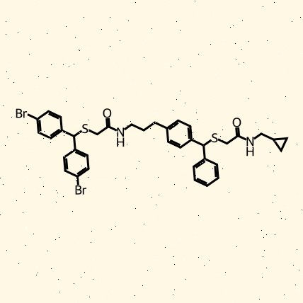 O=C(CSC(c1ccc(Br)cc1)c1ccc(Br)cc1)NCCCc1ccc(C(SCC(=O)NCC2CC2)c2ccccc2)cc1